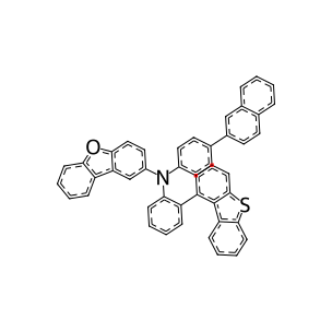 c1ccc(N(c2ccc(-c3ccc4ccccc4c3)cc2)c2ccc3oc4ccccc4c3c2)c(-c2cccc3sc4ccccc4c23)c1